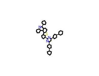 c1ccc(-c2ccc(-c3cc(-c4ccc(-c5ccccc5)cc4)nc(-c4cccc5c4sc4ccc6c(-c7ccccc7)nc7ccccc7c6c45)n3)cc2)cc1